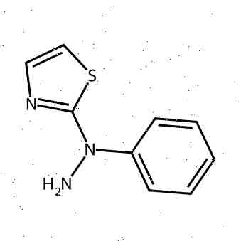 NN(c1ccccc1)c1nccs1